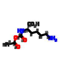 CCCC(=O)OC(=O)N[C@@H](CCCCN)C(=O)O